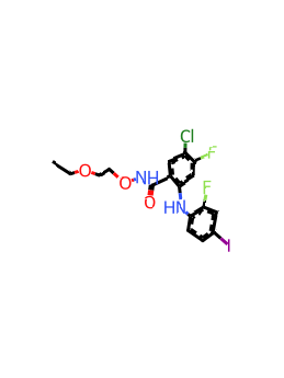 CCOCCONC(=O)c1cc(Cl)c(F)cc1Nc1ccc(I)cc1F